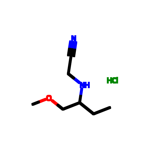 CCC(COC)NCC#N.Cl